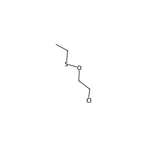 CCSOCCCl